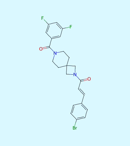 O=C(C=Cc1ccc(Br)cc1)N1CC2(CCN(C(=O)c3cc(F)cc(F)c3)CC2)C1